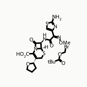 CC(C)(C)C(=O)OCBr.CO/N=C(\C(=O)N[C@@H]1C(=O)N2C(C(=O)O)=C([C@@H]3CCCO3)CS[C@H]12)c1csc(N)n1